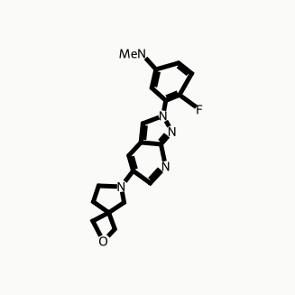 CNc1ccc(F)c(-n2cc3cc(N4CCC5(COC5)C4)cnc3n2)c1